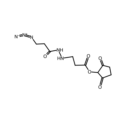 [N-]=[N+]=NCCC(=O)NNCCC(=O)OC1C(=O)CCC1=O